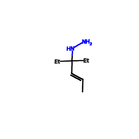 CC=CC(CC)(CC)NN